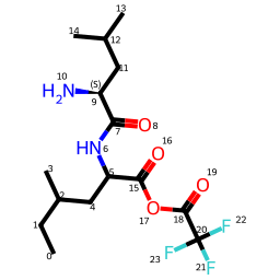 CCC(C)CC(NC(=O)[C@@H](N)CC(C)C)C(=O)OC(=O)C(F)(F)F